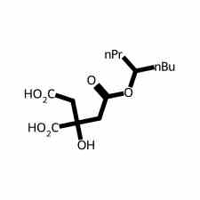 CCCCC(CCC)OC(=O)CC(O)(CC(=O)O)C(=O)O